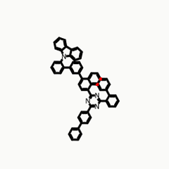 c1ccc(-c2ccc(-c3nc(-c4ccccc4-c4ccccc4)nc(-c4ccc(-c5cccc(-c6ccccc6-n6c7ccccc7c7ccccc76)c5)c5ccccc45)n3)cc2)cc1